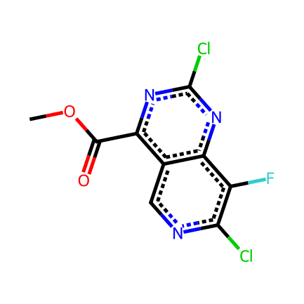 COC(=O)c1nc(Cl)nc2c(F)c(Cl)ncc12